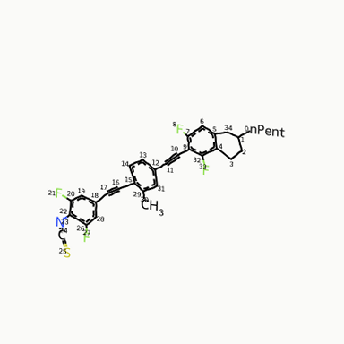 CCCCCC1CCc2c(cc(F)c(C#Cc3ccc(C#Cc4cc(F)c(N=C=S)c(F)c4)c(C)c3)c2F)C1